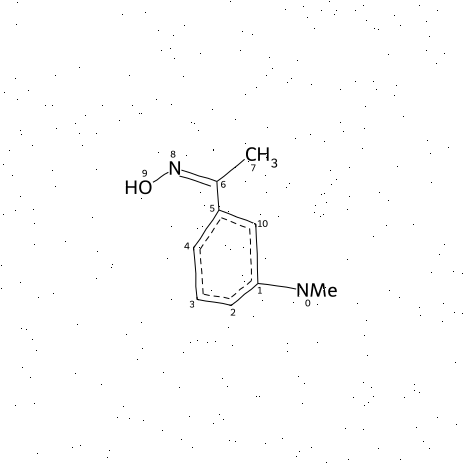 CNc1cccc(/C(C)=N\O)c1